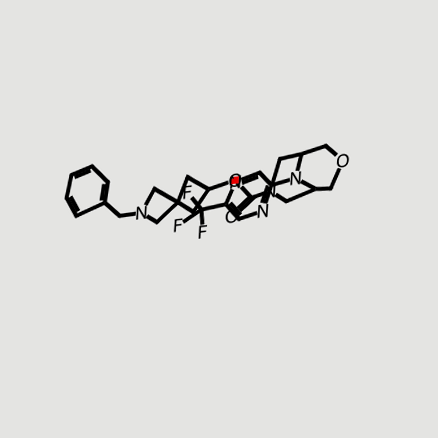 O=C(OC1CC2(C1)CN(Cc1ccccc1)C2)N1CC2COCC(C1)N2c1cnc(C(F)(F)F)cn1